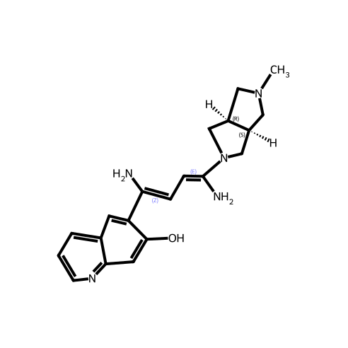 CN1C[C@@H]2CN(/C(N)=C/C=C(\N)c3cc4cccnc4cc3O)C[C@@H]2C1